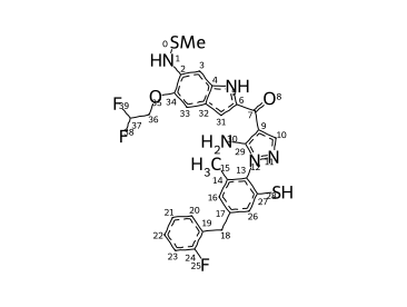 CSNc1cc2[nH]c(C(=O)c3cnn(-c4c(C)cc(Cc5ccccc5F)cc4S)c3N)cc2cc1OCC(F)F